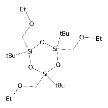 CCOC[Si]1(C(C)(C)C)O[Si](COCC)(C(C)(C)C)O[Si](COCC)(C(C)(C)C)O1